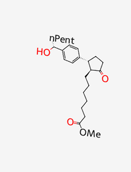 CCCCC[C@@H](O)c1ccc([C@@H]2CCC(=O)[C@H]2CCCCCCC(=O)OC)cc1